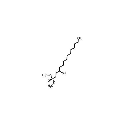 CCCCCCCCCCCC(S)CCP(=O)(OC)OC